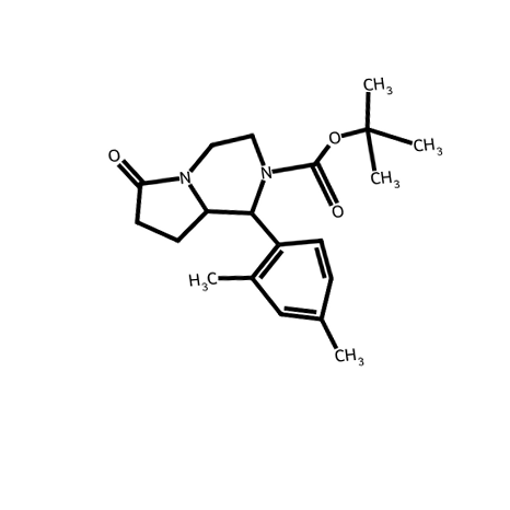 Cc1ccc(C2C3CCC(=O)N3CCN2C(=O)OC(C)(C)C)c(C)c1